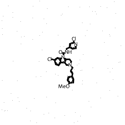 COc1ccc(C=CCN2CCc3c(c4ccc(Cl)cc4n3C(=O)NCc3ccnc(Cl)c3)C2)cc1